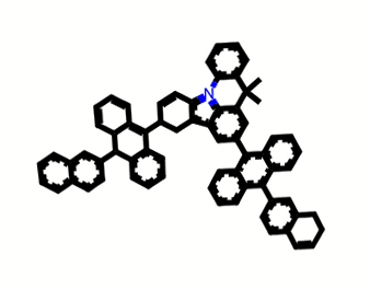 CC1(C)c2ccccc2-n2c3c(c4cc(-c5c6ccccc6c(-c6ccc7c(c6)CCC=C7)c6ccccc56)cc1c42)CC(C1=C2C=CC=CC2C(c2ccc4ccccc4c2)c2ccccc21)C=C3